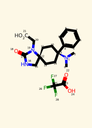 CN(C)[C@]1(c2ccccc2)CC[C@@]2(CC1)CNC(=O)N2CC(=O)O.O=C(O)C(F)(F)F